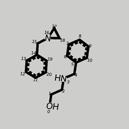 OCCNCc1ccccc1.c1ccc(CN2CC2)cc1